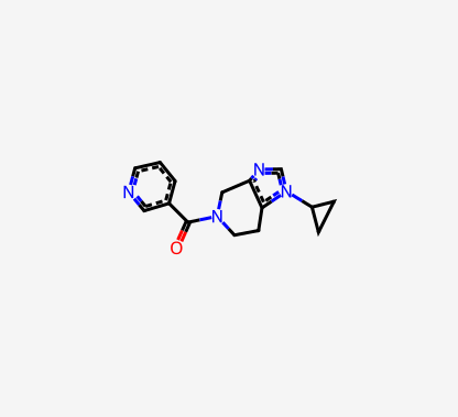 O=C(c1cccnc1)N1CCc2c(ncn2C2CC2)C1